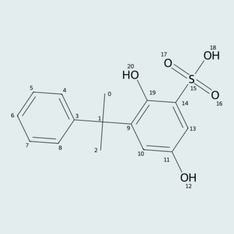 CC(C)(c1ccccc1)c1cc(O)cc(S(=O)(=O)O)c1O